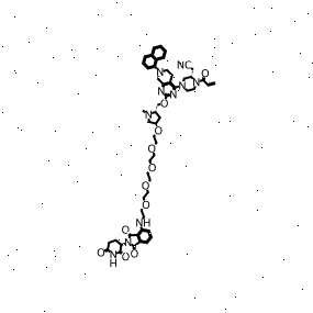 C=CC(=O)N1CCN(c2nc(OC[C@@H]3C[C@@H](OCCOCCOCCOCCOCCNc4cccc5c4C(=O)N(C4CCC(=O)NC4=O)C5=O)CN3C)nc3c2CCN(c2cccc4ccccc24)C3)C[C@@H]1CC#N